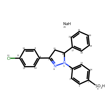 O=S(=O)(O)c1ccc(N2N=C(c3ccc(Cl)cc3)CC2c2ccccc2)cc1.[NaH]